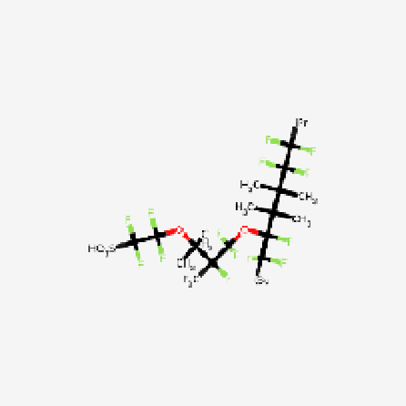 CC(C)C(F)(F)C(F)(F)C(C)(C)C(C)(C)C(F)(OC(F)(F)C(F)(C(F)(F)F)C(C)(C)OC(F)(F)C(F)(F)S(=O)(=O)O)C(F)(F)C(C)(C)C